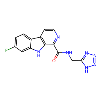 O=C(NCc1nnn[nH]1)c1nccc2c1[nH]c1cc(F)ccc12